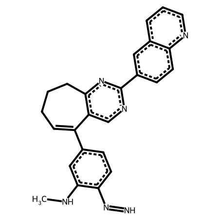 CNc1cc(C2=CCCCc3nc(-c4ccc5ncccc5c4)ncc32)ccc1N=N